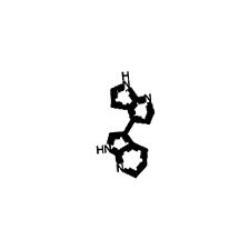 c1cnc2[nH]cc(-c3ccnc4[nH]ccc34)c2c1